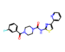 O=C(Nc1nc(-c2ccccn2)cs1)N1CCN(C(=O)c2cccc(F)c2)CC1